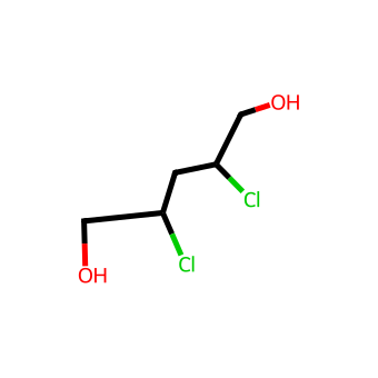 OCC(Cl)CC(Cl)CO